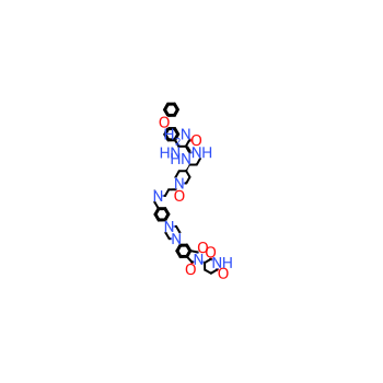 CN(CCC(=O)N1CCC([C@@H]2CCN/C(=C(/C(=N)c3ccc(Oc4ccccc4)cc3)C(N)=O)N2)CC1)Cc1ccc(N2CCN(c3ccc4c(c3)C(=O)N(C3CCC(=O)NC3=O)C4=O)CC2)cc1